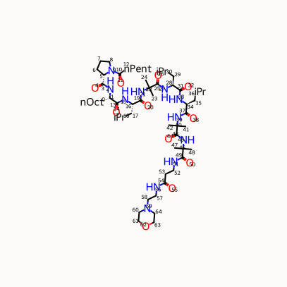 CCCCCCCC[C@H](NC(=O)[C@@H]1CCCN1C(=O)CCCCC)C(=O)N[C@@H](CC(C)C)C(=O)NC(C)(C)C(=O)N[C@@H](CC(C)C)C(=O)N[C@@H](CC(C)C)C(=O)NC(C)(C)C(=O)NC(C)(C)C(=O)NCCC(=O)NCCN1CCOCC1